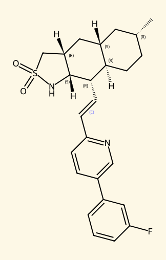 C[C@@H]1CC[C@@H]2[C@@H](C1)C[C@H]1CS(=O)(=O)N[C@H]1[C@H]2/C=C/c1ccc(-c2cccc(F)c2)cn1